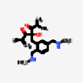 C=C(C)C(=O)C(O)(Cc1cc(CNC(=O)O)ccc1CNC(=O)O)C(=O)C(=C)C